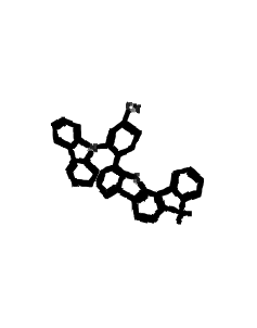 CC1(C)c2ccccc2-c2c1ccc1c2sc2c(C3CC=C(C#N)C=C3n3c4ccccc4c4ccccc43)cccc21